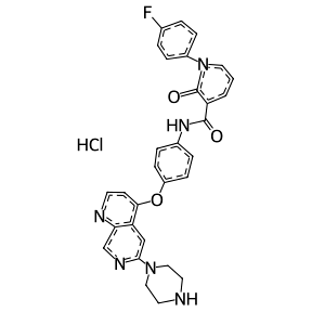 Cl.O=C(Nc1ccc(Oc2ccnc3cnc(N4CCNCC4)cc23)cc1)c1cccn(-c2ccc(F)cc2)c1=O